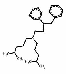 CC(C)CCCN(CCCC(C)C)CCC(Cc1ccccc1)c1ccccc1